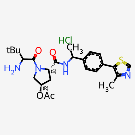 CC(=O)O[C@@H]1C[C@@H](C(=O)NC(C)c2ccc(-c3scnc3C)cc2)N(C(=O)C(N)C(C)(C)C)C1.Cl